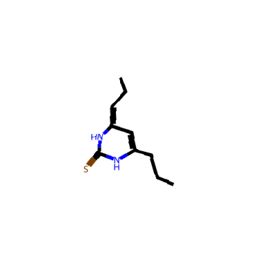 CCC=C1C=C(CCC)NC(=S)N1